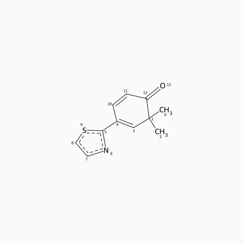 CC1(C)C=C(c2nccs2)C=CC1=O